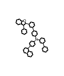 c1ccc(-c2cccc(N(c3ccc(-c4cccc(-c5oc6ccccc6c5-c5ccccc5)c4)cc3)c3ccc(-c4cccc5ccccc45)cc3)c2)cc1